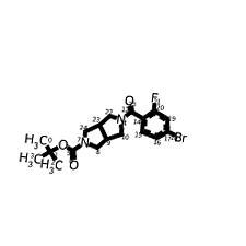 CC(C)(C)OC(=O)N1CC2CN(C(=O)c3ccc(Br)cc3F)CC2C1